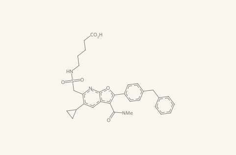 CNC(=O)c1c(-c2ccc(Cc3ccccc3)cc2)oc2nc(CS(=O)(=O)NCCCCC(=O)O)c(C3CC3)cc12